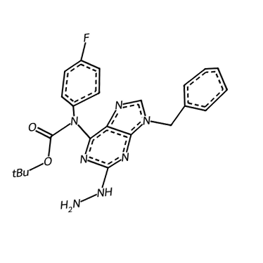 CC(C)(C)OC(=O)N(c1ccc(F)cc1)c1nc(NN)nc2c1ncn2Cc1ccccc1